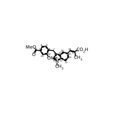 COC(=O)c1ccc(Cc2cn(C)c3ccc(C=C(C)C(=O)O)cc23)c(OC)c1